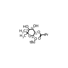 CC(C)C(=O)O[C@@H]1[C@H](OC(C)(C)C)OC(C)(C)[C@@H](O)[C@@H]1O